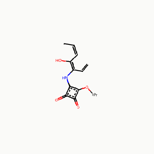 C=C/C(Nc1c(OCCC)c(=O)c1=O)=C(O)\C=C/C